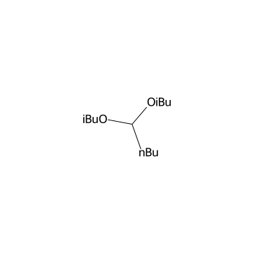 CCCCC(OCC(C)C)OCC(C)C